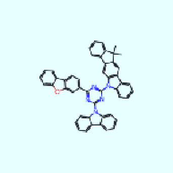 CC1(C)c2ccccc2-c2cc3c(cc21)c1ccccc1n3-c1nc(-c2ccc3c(c2)oc2ccccc23)nc(-n2c3ccccc3c3ccccc32)n1